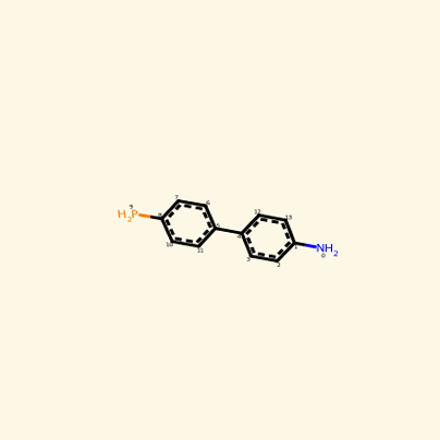 Nc1ccc(-c2ccc(P)cc2)cc1